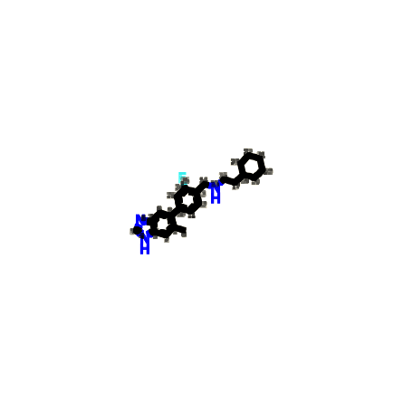 Cc1cc2[nH]cnc2cc1-c1ccc(CNCCC2CCCCC2)c(F)c1